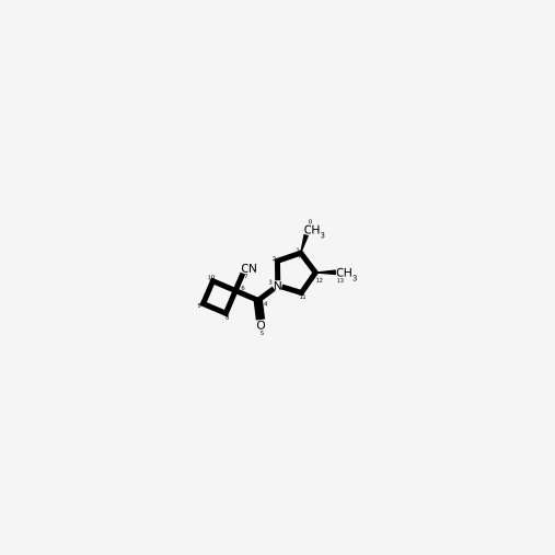 C[C@@H]1CN(C(=O)C2(C#N)CCC2)C[C@@H]1C